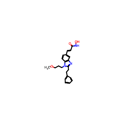 COCCCn1c(CCc2ccccc2)nc2cc(C=CC(=O)NO)ccc21